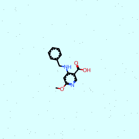 COc1cc(NCc2ccccc2)c(C(=O)O)cn1